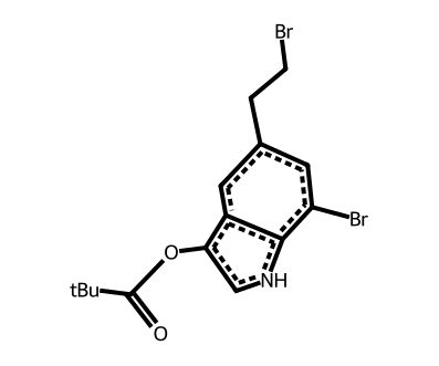 CC(C)(C)C(=O)Oc1c[nH]c2c(Br)cc(CCBr)cc12